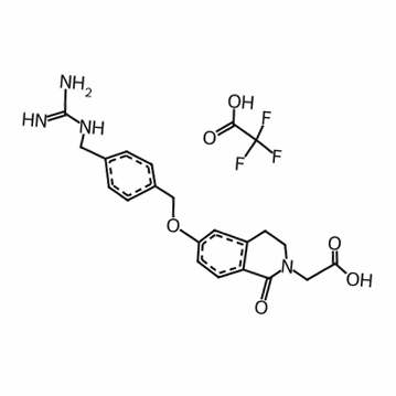 N=C(N)NCc1ccc(COc2ccc3c(c2)CCN(CC(=O)O)C3=O)cc1.O=C(O)C(F)(F)F